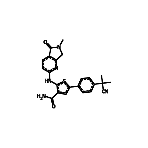 CN1Cc2nc(Nc3sc(-c4ccc(C(C)(C)C#N)cc4)cc3C(N)=O)ccc2C1=O